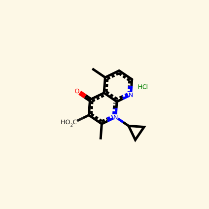 Cc1ccnc2c1c(=O)c(C(=O)O)c(C)n2C1CC1.Cl